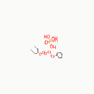 CC=C(CC)OOOOOc1ccccc1.O=P(O)(O)O